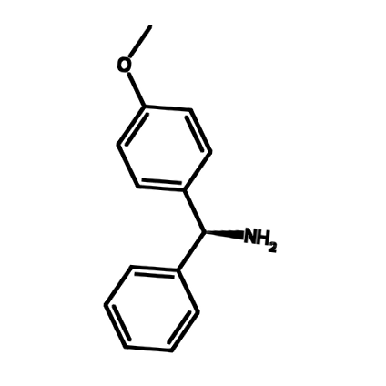 COc1ccc([C@@H](N)c2ccccc2)cc1